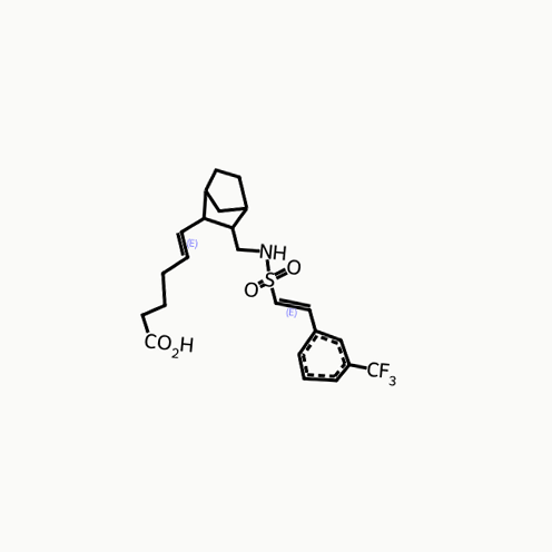 O=C(O)CCC/C=C/C1C2CCC(C2)C1CNS(=O)(=O)/C=C/c1cccc(C(F)(F)F)c1